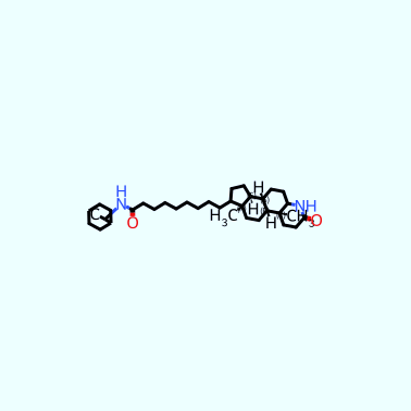 C[C@]12CCC(=O)NC1CC[C@@H]1[C@H]2CC[C@]2(C)C(CCCCCCCCC(=O)NC3CC4CCC3CC4)CC[C@@H]12